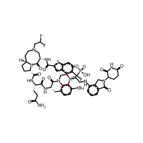 CC(C)(C)c1ccc(C[C@H](NC(=O)[C@H](CCC(N)=O)NC(=O)[C@@H]2CC[C@@H]3CCN(CC(F)F)C[C@H](NC(=O)c4cc5cc(C(F)(F)P(=O)(O)O)ccc5s4)C(=O)N32)C(=O)N2CCN(CCNc3cccc4c3CN(C3CCC(=O)NC3=O)C4=O)CC2)cc1